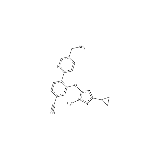 C#Cc1ccc(-c2ccc(CN)cn2)c(Oc2cc(C3CC3)nn2C)c1